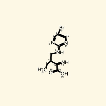 CCC(CNc1ncc(Br)cn1)C(=N)C(=O)O